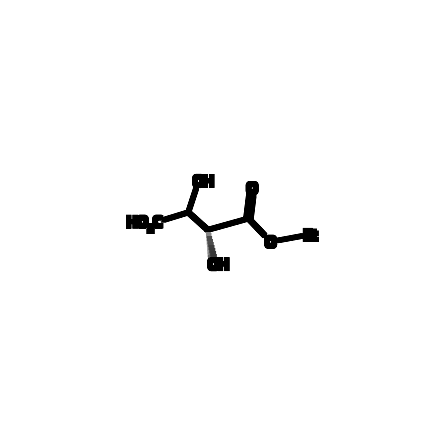 CCOC(=O)[C@H](O)C(O)C(=O)O